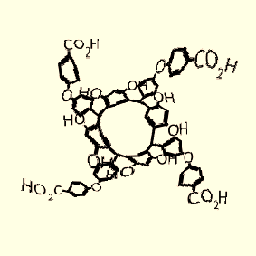 O=C(O)c1ccc(Oc2ccc(C3c4cc(c(O)cc4O)C(c4ccc(Oc5ccc(C(=O)O)cc5)cc4)c4cc(c(O)cc4O)C(c4ccc(Oc5ccc(C(=O)O)cc5)cc4)c4cc(c(O)cc4O)C(c4ccc(Oc5ccc(C(=O)O)cc5)cc4)c4cc3c(O)cc4O)cc2)cc1